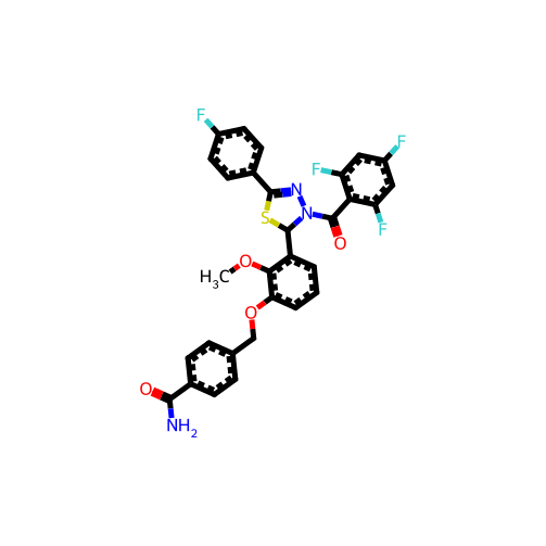 COc1c(OCc2ccc(C(N)=O)cc2)cccc1C1SC(c2ccc(F)cc2)=NN1C(=O)c1c(F)cc(F)cc1F